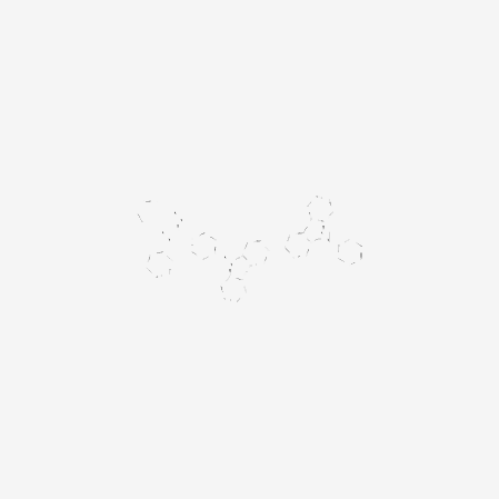 C1=CC2N=C(c3ccc(-n4c5ccccc5c5cc(-c6ccc7c(c6)c6ccccc6n7-c6ccccc6)ccc54)cc3)N(c3ccccc3)C2C=C1